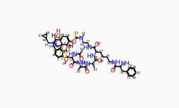 COc1ccc2c3c1O[C@H]1C(OC(=S)N(C)CCNC(=O)C(CCCCNC(=O)C(N)Cc4ccccc4)NC(=O)C(C)NC(=O)C(C)NC(=O)C(CS)NC(C)=O)=CC[C@@]4(O)[C@@H](C2)N(CC2CC2)CC[C@]314